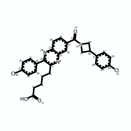 O=C(O)CCCCc1nc2cc(C(=O)N3CC(c4ccc(Cl)cc4)C3)ccc2nc1-c1ccc(Cl)cc1